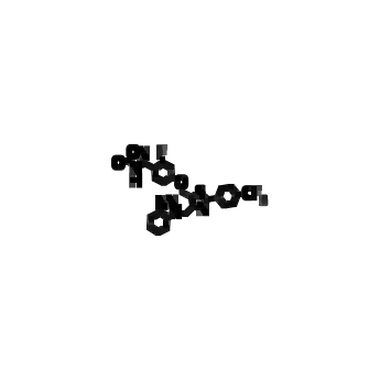 O=c1[nH]c(-c2ccc(OCc3sc(-c4ccc(C(F)(F)F)cc4)nc3Cn3nnc4ccccc43)cc2F)no1